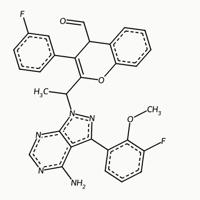 COc1c(F)cccc1-c1nn(C(C)C2=C(c3cccc(F)c3)C(C=O)c3ccccc3O2)c2ncnc(N)c12